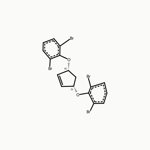 Brc1cccc(Br)c1O[C@@H]1C=C[C@H](Oc2c(Br)cccc2Br)C1